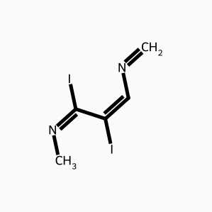 C=N/C=C(I)\C(I)=N/C